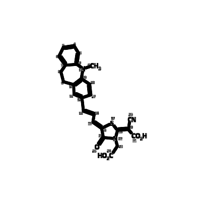 CN1c2ccccc2CCc2cc(/C=C/C=c3\s/c(=C(\C#N)C(=O)O)n(CC(=O)O)c3=O)ccc21